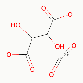 O=C([O-])C(O)C(O)C(=O)[O-].[O]=[U+2]=[O]